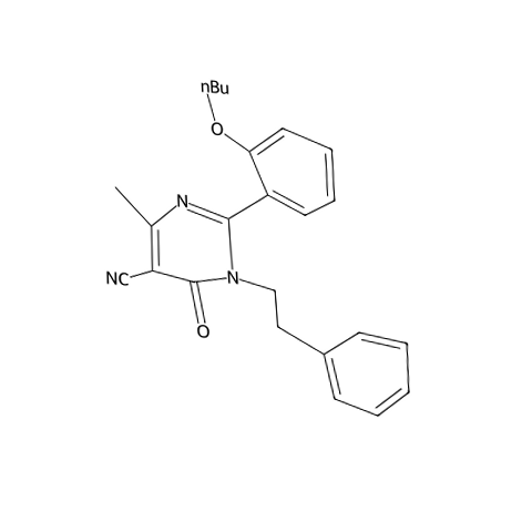 CCCCOc1ccccc1-c1nc(C)c(C#N)c(=O)n1CCc1ccccc1